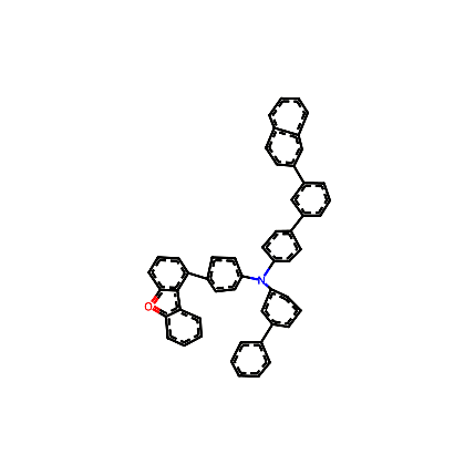 c1ccc(-c2cccc(N(c3ccc(-c4cccc(-c5ccc6ccccc6c5)c4)cc3)c3ccc(-c4cccc5oc6ccccc6c45)cc3)c2)cc1